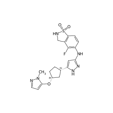 Cn1nccc1O[C@@H]1CC[C@H](c2cc(Nc3ccc4c(c3F)CNS4(=O)=O)n[nH]2)C1